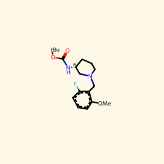 COc1cccc(F)c1CN1CCC[C@@H](NC(=O)OC(C)(C)C)C1